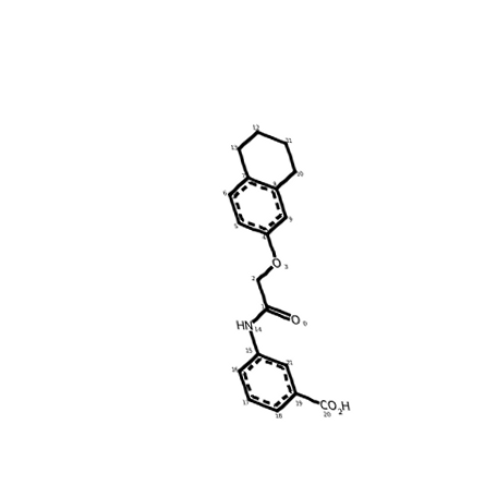 O=C(COc1ccc2c(c1)CCCC2)Nc1cccc(C(=O)O)c1